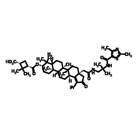 Cc1nc(C)c(C(=O)NC(C)(C)CNC(=O)C[C@@]23CC[C@]4(C)[C@H](CC[C@@H]5[C@@]6(C)CC[C@H](OC(=O)[C@H]7C[C@@H](C(=O)O)C7(C)C)C(C)(C)[C@@H]6CC[C@]54C)C2=C(C(C)C)C(=O)C3)s1